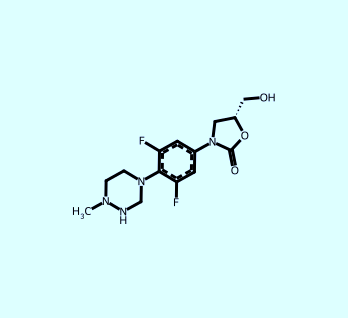 CN1CCN(c2c(F)cc(N3C[C@H](CO)OC3=O)cc2F)CN1